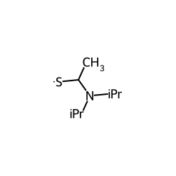 CC(C)N(C(C)C)C(C)[S]